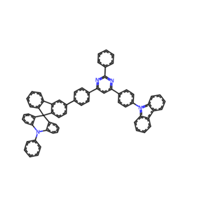 c1ccc(-c2nc(-c3ccc(-c4ccc5c(c4)-c4ccccc4C54c5ccccc5N(c5ccccc5)c5ccccc54)cc3)cc(-c3ccc(-n4c5ccccc5c5ccccc54)cc3)n2)cc1